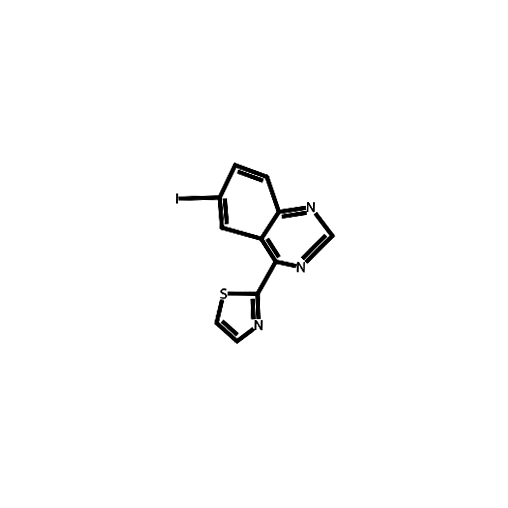 Ic1ccc2ncnc(-c3nccs3)c2c1